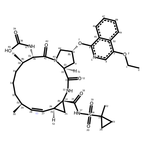 CCOc1cnc(O[C@@H]2C[C@H]3C(=O)N[C@]4(C(=O)NS(=O)(=O)C5(C)CC5)C[C@H]4/C=C\[C@@H](C)CCC[C@@H](C)[C@H](NC(=O)O)C(=O)N3C2)c2ccccc12